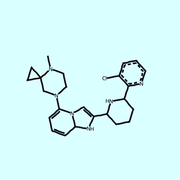 CN1CCN(C2=CC=CC3NC(C4CCCC(c5ncccc5Cl)N4)=CN23)CC12CC2